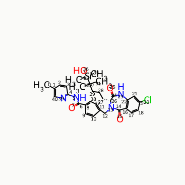 Cc1ccc(NC(=O)c2ccc(CN3C(=O)c4ccc(Cl)cc4NC(=O)[C@H]3CCCC(C)(C)[Si](C)(C)O)cc2)nc1